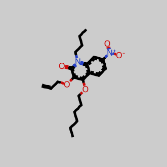 C=CCOc1c(OCCCCCC)c2ccc([N+](=O)[O-])cc2n(CCCC)c1=O